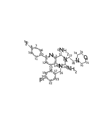 NC1c2nc(-c3ccc(F)cc3)ccc2N(Cc2ccc(F)cc2)C(N)N1CCN1CCOCC1